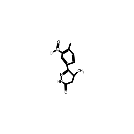 CC1CC(=O)NN=C1c1ccc(I)c([N+](=O)[O-])c1